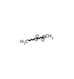 CCCCCCOC(=O)CCC(=O)OCC